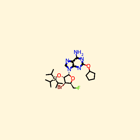 CC(C)[Si](O[C@H]1[C@H](Br)[C@H](CF)O[C@H]1n1cnc2c(N)nc(OC3CCCC3)nc21)(C(C)C)C(C)C